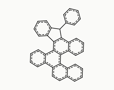 c1ccc(C2c3ccccc3-c3c2c2ccccc2c2c3c3ccccc3c3ccc4ccccc4c32)cc1